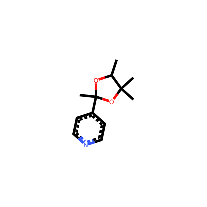 CC1OC(C)(c2ccncc2)OC1(C)C